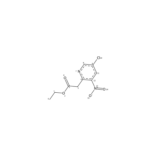 CCOC(=O)Cc1ncc(Cl)cc1[N+](=O)[O-]